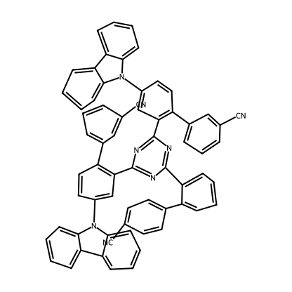 N#Cc1ccc(-c2ccccc2-c2nc(-c3cc(-n4c5ccccc5c5ccccc54)ccc3-c3cccc(C#N)c3)nc(-c3cc(-n4c5ccccc5c5ccccc54)ccc3-c3cccc(C#N)c3)n2)cc1